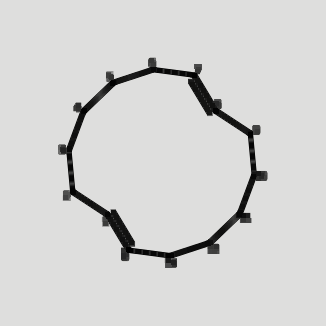 [C]1=C/CCCCC/C=C/CCCCC/1